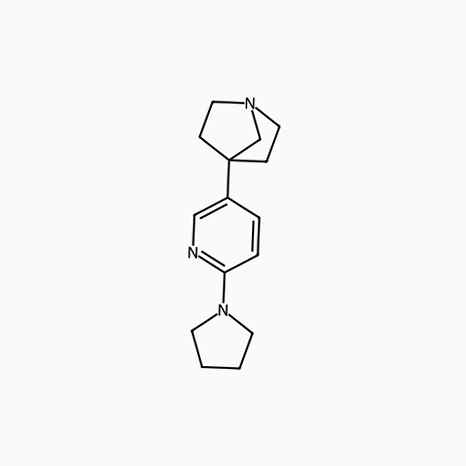 c1cc(N2CCCC2)ncc1C12CCN(CC1)C2